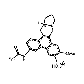 COc1cc2c3c(c4ccc(NC(=O)C(F)(F)F)cc4c2cc1OC)C[C@@H]1CCCN1C3.CS(=O)(=O)O